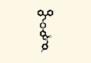 O=C1c2cc(N3CCN(CCC(c4ccccc4)c4ccccc4)CC3)ccc2CN1Cc1ccc(F)cc1